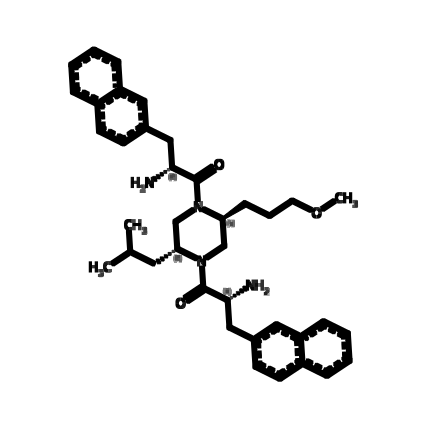 COCCC[C@H]1CN(C(=O)[C@H](N)Cc2ccc3ccccc3c2)[C@H](CC(C)C)CN1C(=O)[C@H](N)Cc1ccc2ccccc2c1